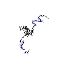 CC/C=C\C/C=C\C/C=C\C/C=C\C/C=C\CCCC(=O)O[C@H](COC(=O)CCC/C=C\C/C=C\C/C=C\C/C=C\CCCCC)COP(=O)(O)O